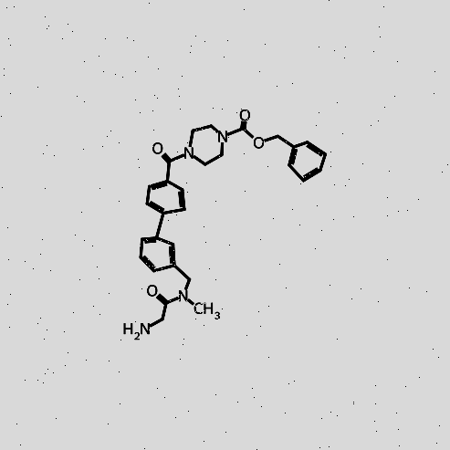 CN(Cc1cccc(-c2ccc(C(=O)N3CCN(C(=O)OCc4ccccc4)CC3)cc2)c1)C(=O)CN